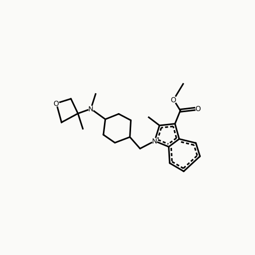 COC(=O)c1c(C)n(CC2CCC(N(C)C3(C)COC3)CC2)c2ccccc12